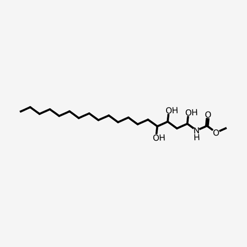 CCCCCCCCCCCCCCC(O)C(O)CC(O)NC(=O)OC